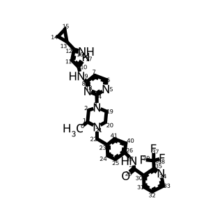 CC1CN(c2nccc(Nc3cc(C4CC4)[nH]n3)n2)CCN1Cc1ccc(NC(=O)c2cccnc2C(F)(F)F)cc1